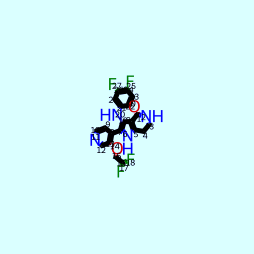 O=C1NCCc2[nH]c(-c3ccncc3OCC(F)F)c(Nc3ccc(F)c(F)c3)c21